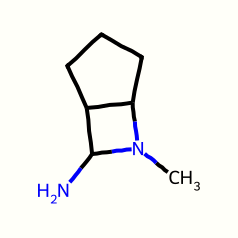 CN1C(N)C2CCCC21